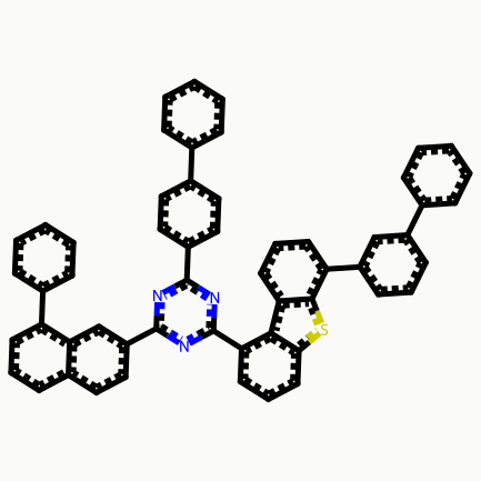 c1ccc(-c2ccc(-c3nc(-c4ccc5cccc(-c6ccccc6)c5c4)nc(-c4cccc5sc6c(-c7cccc(-c8ccccc8)c7)cccc6c45)n3)cc2)cc1